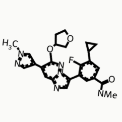 CNC(=O)c1cc(-c2cnc3cc(-c4cnn(C)c4)c(OC4CCOC4)nn23)c(F)c(C2CC2)c1